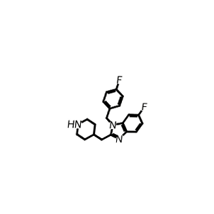 Fc1ccc(Cn2c(CC3CCNCC3)nc3ccc(F)cc32)cc1